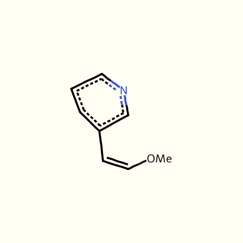 CO/C=C\c1cccnc1